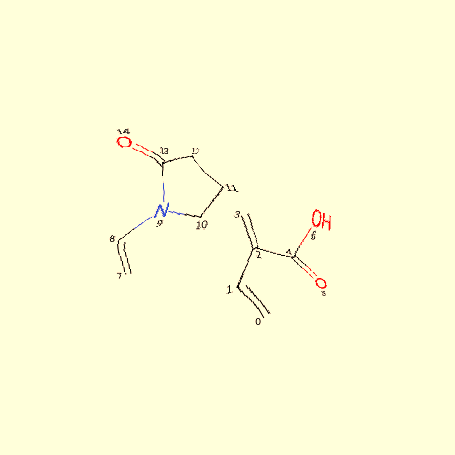 C=CC(=C)C(=O)O.C=CN1CCCC1=O